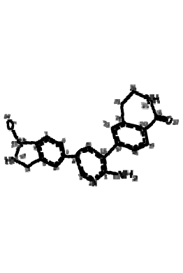 Nc1ncc(-c2ccc3c(c2)CN[S+]3[O-])cc1-c1ccc2c(c1)CCNC2=O